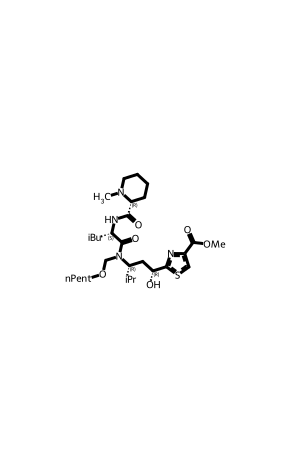 CCCCCOCN(C(=O)[C@@H](NC(=O)[C@H]1CCCCN1C)C(C)CC)[C@H](C[C@@H](O)c1nc(C(=O)OC)cs1)C(C)C